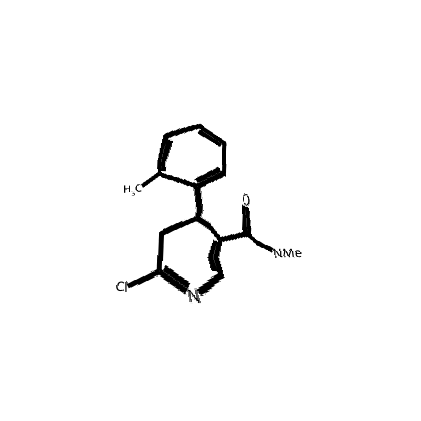 CNC(=O)C1=CN=C(Cl)CC1c1ccccc1C